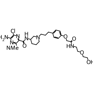 CNc1nc(N)c(Cl)nc1C(=O)NC1CCCN(CCCc2ccc(OCC(=O)NCCOCCO)cc2)C1